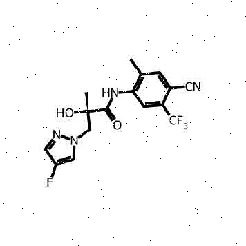 Cc1cc(C#N)c(C(F)(F)F)cc1NC(=O)[C@@](C)(O)Cn1cc(F)cn1